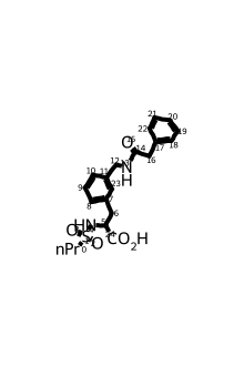 CCCS(=O)(=O)NC(Cc1cccc(CNC(=O)Cc2ccccc2)c1)C(=O)O